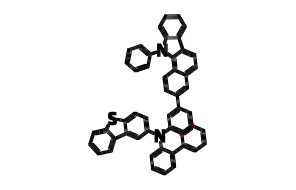 c1ccc(-c2ccccc2N(c2cccc(-c3ccc4c(ccc5c6ccccc6n(-c6ccccc6)c45)c3)c2)c2ccc3sc4ccccc4c3c2)cc1